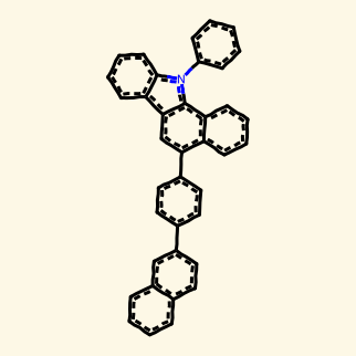 c1ccc(-n2c3ccccc3c3cc(-c4ccc(-c5ccc6ccccc6c5)cc4)c4ccccc4c32)cc1